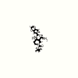 CC(C)(C)OC(=O)N1CCC(NCc2cc3c(cn2)OCCO3)C(C(N)=O)C1